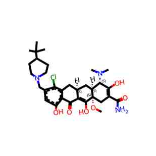 CO[C@@]12CC(C(N)=O)=C(O)[C@@H](N(C)C)[C@@H]1C[C@@H]1Cc3c(Cl)c(CN4CCC(C(C)(C)C)CC4)cc(O)c3C(=O)C1=C2O